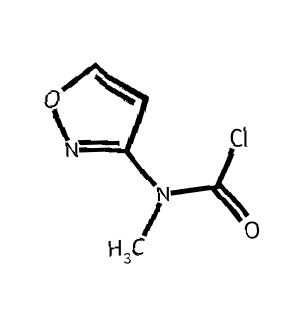 CN(C(=O)Cl)c1ccon1